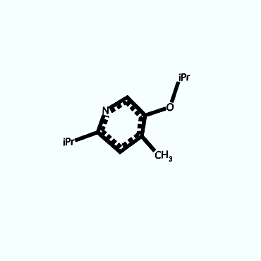 Cc1cc(C(C)C)ncc1OC(C)C